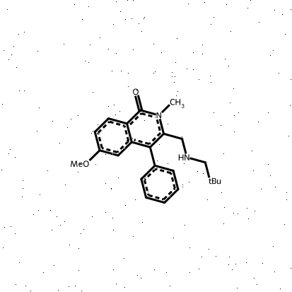 COc1ccc2c(=O)n(C)c(CNCC(C)(C)C)c(-c3ccccc3)c2c1